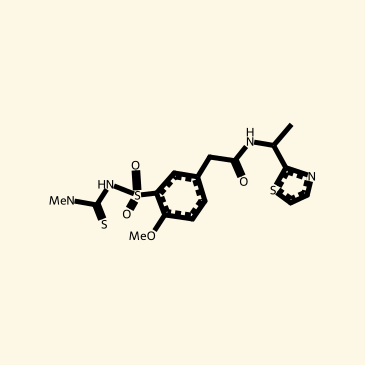 CNC(=S)NS(=O)(=O)c1cc(CC(=O)NC(C)c2nccs2)ccc1OC